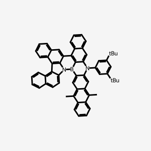 Cc1c2ccccc2c(C)c2cc3c(cc12)B1c2c(cc4ccccc4c2-c2cc4ccccc4c4c5c6ccccc6ccc5n1c24)N3c1cc(C(C)(C)C)cc(C(C)(C)C)c1